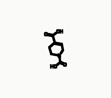 O=C(O)C1=CCN(C(=O)O)CC1